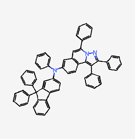 c1ccc(-c2nn3c(-c4ccccc4)cc4cc(N(c5ccccc5)c5ccc6c(c5)C(c5ccccc5)(c5ccccc5)c5ccccc5-6)ccc4c3c2-c2ccccc2)cc1